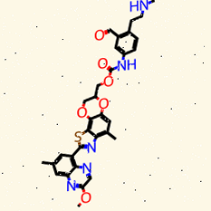 CNCCc1ccc(NC(=O)OCC2COc3c(cc(C)c4nc(-c5cc(C)cc6nc(OC)cnc56)sc34)O2)cc1C=O